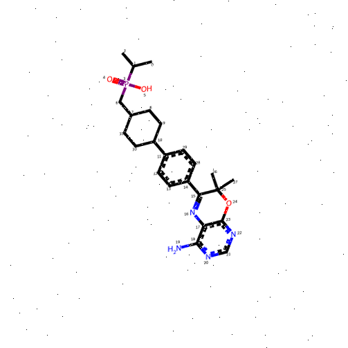 CC(C)P(=O)(O)CC1CCC(c2ccc(C3=Nc4c(N)ncnc4OC3(C)C)cc2)CC1